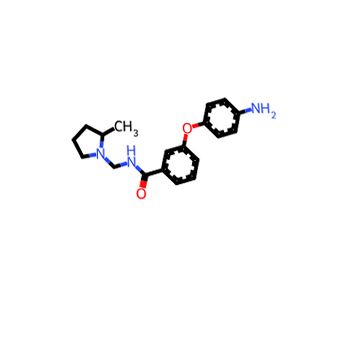 CC1CCCN1CNC(=O)c1cccc(Oc2ccc(N)cc2)c1